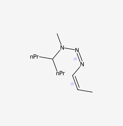 C/C=C\N=N/N(C)C(CCC)CCC